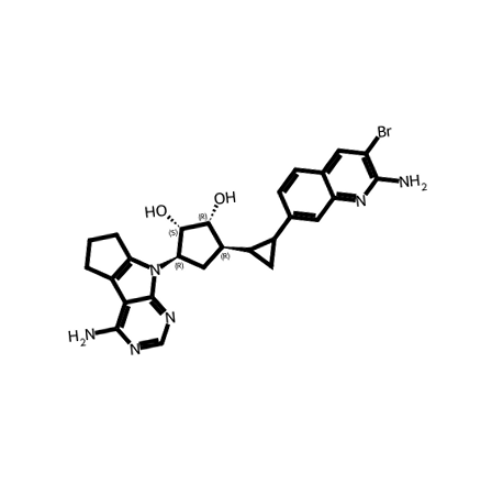 Nc1nc2cc(C3CC3[C@H]3C[C@@H](n4c5c(c6c(N)ncnc64)CCC5)[C@H](O)[C@@H]3O)ccc2cc1Br